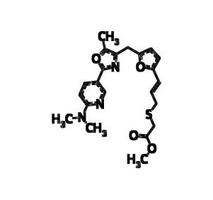 COC(=O)CSCC=Cc1ccc(Cc2nc(-c3ccc(N(C)C)nc3)oc2C)o1